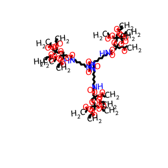 C=CC(=O)CCC(COCC(COC(=O)C=C)(COC(=O)C=C)COC(=O)C=C)(COC(=O)C=C)COC(=O)NCCCCCCn1c(=O)n(CCCCCCNC(=O)OCC(COCC(COC(=O)C=C)(COC(=O)C=C)COC(=O)C=C)(COC(=O)C=C)COC(=O)C=C)c(=O)n(CCCCCCNC(=O)OCC(COCC(COC(=O)C=C)(COC(=O)C=C)COC(=O)C=C)(COC(=O)C=C)COC(=O)C=C)c1=O